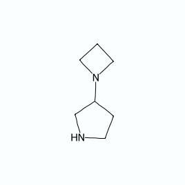 C1CN(C2CCNC2)C1